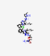 C=C1CC[C@@H](CNCc2ncc(-c3cccc(-c4cccc(-c5cnc(CNCC6CCC(C(N)=O)O6)c(OC)n5)c4C)c3Cl)nc2OC)N1